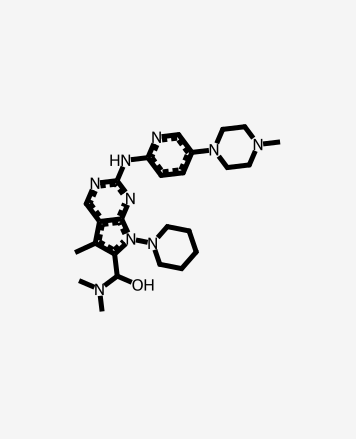 Cc1c(C(O)N(C)C)n(N2CCCCC2)c2nc(Nc3ccc(N4CCN(C)CC4)cn3)ncc12